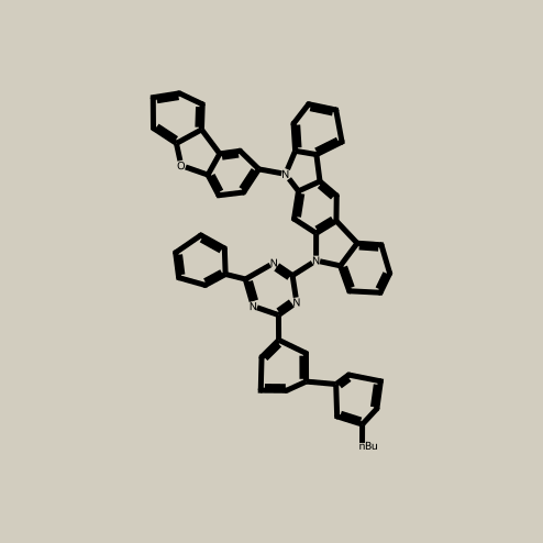 CCCCc1cccc(-c2cccc(-c3nc(-c4ccccc4)nc(-n4c5ccccc5c5cc6c7ccccc7n(-c7ccc8oc9ccccc9c8c7)c6cc54)n3)c2)c1